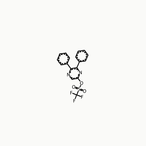 O=S(=O)(Oc1cnc(-c2ccccc2)c(-c2ccccc2)n1)C(F)(F)F